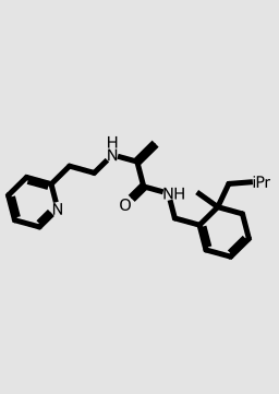 C=C(NCCc1ccccn1)C(=O)NCC1=CC=CCC1(C)CC(C)C